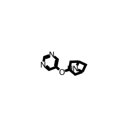 c1ncc(OC2CC3CC(C2)N3)cn1